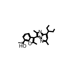 CCC(CC)c1cc(C)nn2c(-c3c(C)oc4c([C@H](C)O)cccc34)c(C)nc12